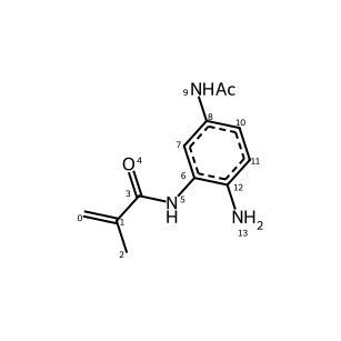 C=C(C)C(=O)Nc1cc(NC(C)=O)ccc1N